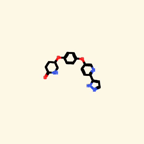 O=C1CCC(Oc2ccc(Oc3ccc(-c4ccn[nH]4)nc3)cc2)CN1